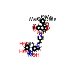 COc1cc([C@@H]2c3cc4c(cc3[C@H](OC(=O)N3CCC(CCn5ccc6cc(-n7c(O)nnc7-c7cc(C(C)C)c(O)cc7O)ccc65)CC3)[C@H]3COC(=O)[C@H]23)OCO4)cc(OC)c1OC